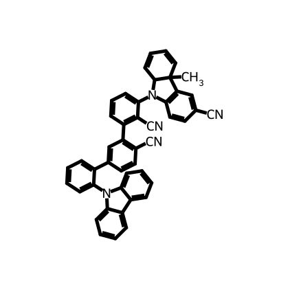 CC12C=CC=CC1N(c1cccc(-c3cc(-c4ccccc4-n4c5ccccc5c5ccccc54)ccc3C#N)c1C#N)c1ccc(C#N)cc12